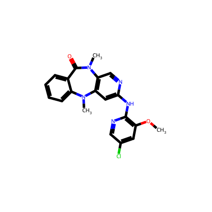 COc1cc(Cl)cnc1Nc1cc2c(cn1)N(C)C(=O)c1ccccc1N2C